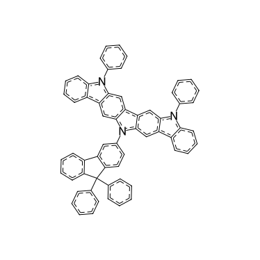 c1ccc(-n2c3ccccc3c3cc4c(cc32)c2cc3c(cc2n4-c2ccc4c(c2)-c2ccccc2C4(c2ccccc2)c2ccccc2)c2ccccc2n3-c2ccccc2)cc1